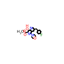 COC(=O)c1nc(N2CCOCC2)c2cc(Cc3ccc(F)cc3)cnc2c1O